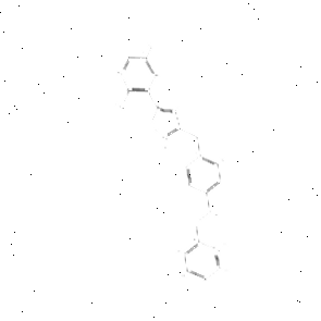 Nc1ncc(Cl)cc1-c1cc(Cc2ccc(COc3ccccn3)cc2)no1